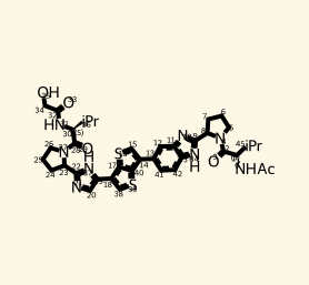 CC(=O)N[C@H](C(=O)N1CCCC1c1nc2cc(-c3csc4c(-c5cnc(C6CCCN6C(=O)[C@@H](NC(=O)CO)C(C)C)[nH]5)csc34)ccc2[nH]1)C(C)C